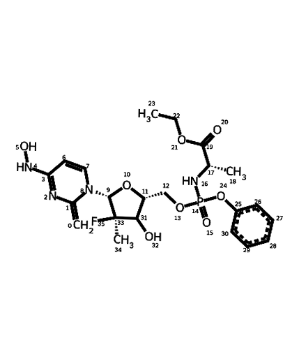 C=C1N=C(NO)C=CN1[C@@H]1O[C@H](COP(=O)(N[C@@H](C)C(=O)OCC)Oc2ccccc2)C(O)[C@@]1(C)F